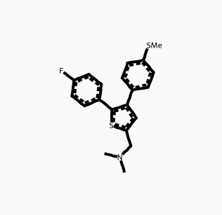 CSc1ccc(-c2cc(CN(C)C)sc2-c2ccc(F)cc2)cc1